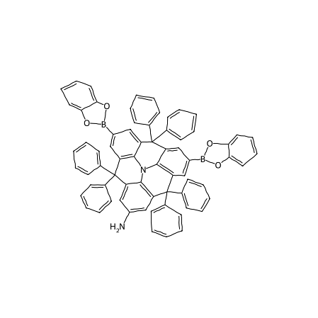 Nc1cc2c3c(c1)C(c1ccccc1)(c1ccccc1)c1cc(B4Oc5ccccc5O4)cc4c1N3c1c(cc(B3Oc5ccccc5O3)cc1C4(c1ccccc1)c1ccccc1)C2(c1ccccc1)c1ccccc1